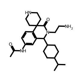 CC(=O)Nc1ccc2c(c1)C(C1CCC(C(C)C)CC1)N(CCN)C(=O)C21CCNCC1